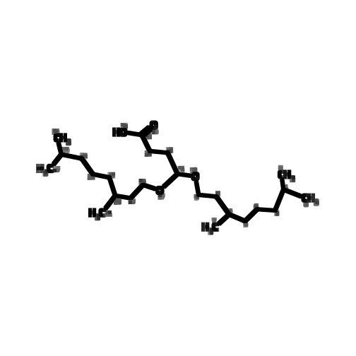 CC(C)CCCC(C)CCOC(CCC(=O)O)OCCC(C)CCCC(C)C